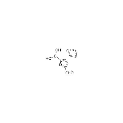 O=Cc1ccc(B(O)O)o1.c1ccoc1